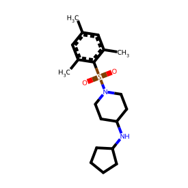 Cc1cc(C)c(S(=O)(=O)N2CCC(NC3CCCC3)CC2)c(C)c1